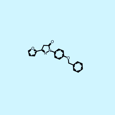 O=C1CC(c2ccco2)=NN1c1ccc(OCc2ccccc2)cc1